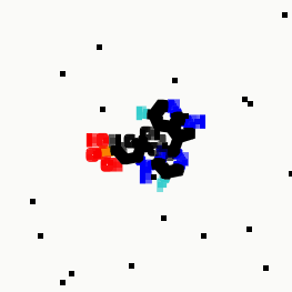 CC(C)(C)C(CCP(=O)(O)O)Nc1nc(-c2c[nH]c3ncc(F)cc23)ncc1F